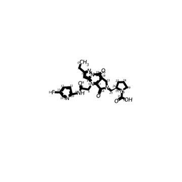 CCc1cc2n(CC(=O)Nc3ccc(F)cn3)c3c(c(=O)n2n1)CN(C[C@H]1CCCN1C(=O)O)C3=O